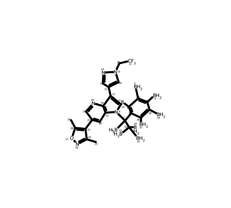 Bc1c(B)c(B)c(C(B)(n2cc(-c3cnn(CC(F)(F)F)c3)c3ncc(-c4c(C)noc4C)cc32)C(B)(B)B)c(B)c1B